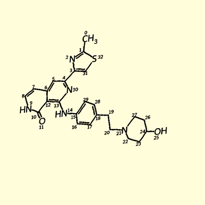 Cc1nc(-c2cc3cc[nH]c(=O)c3c(Nc3ccc(CCN4CCC(O)CC4)cc3)n2)cs1